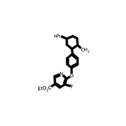 CCCC1CCC(C)C(c2ccc(Oc3ncc(C(=O)OCC)cc3F)cc2)C1